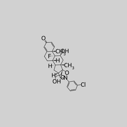 C[C@]12C=CC(=O)C=C1CC[C@H]1[C@@H]3C[C@H]4CN(c5cccc(Cl)c5)O[C@@]4(C(=O)CO)[C@@]3(C)C[C@H](O)[C@@]12F